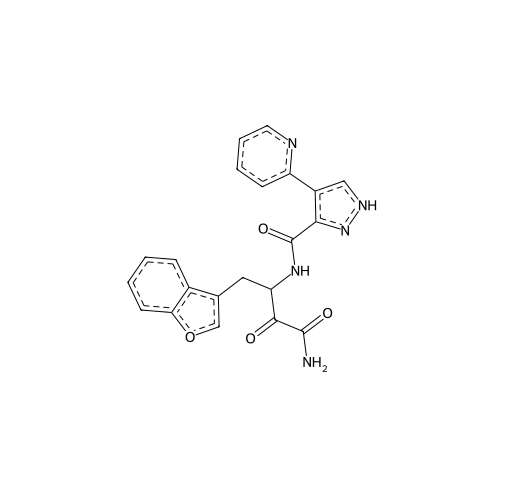 NC(=O)C(=O)C(Cc1coc2ccccc12)NC(=O)c1n[nH]cc1-c1ccccn1